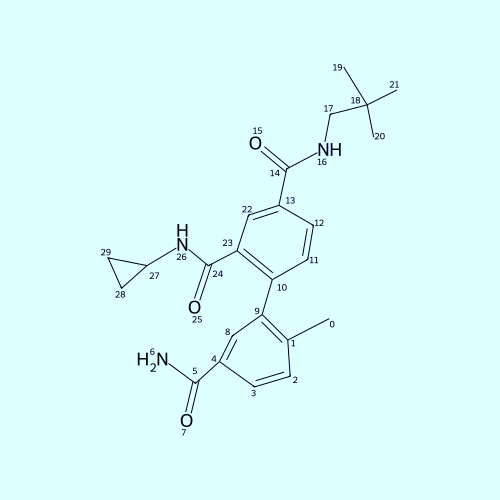 Cc1ccc(C(N)=O)cc1-c1ccc(C(=O)NCC(C)(C)C)cc1C(=O)NC1CC1